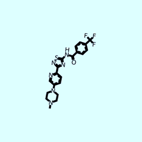 CN1CCN(c2ccc(-c3nsc(NC(=O)c4ccc(C(F)(F)F)cc4)n3)nc2)CC1